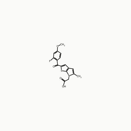 COc1ccc(C(=O)c2cc3cc(C)n(CC(=O)O)c3s2)c(F)c1